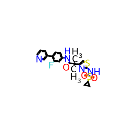 CC(C)(C(=O)Nc1ccc(-c2cccnc2)c(F)c1)c1csc(NS(=O)(=O)C2CC2)n1